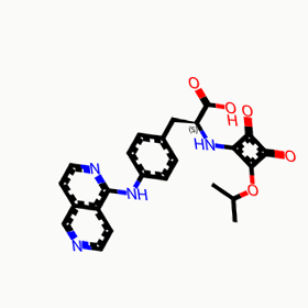 CC(C)Oc1c(N[C@@H](Cc2ccc(Nc3nccc4cnccc34)cc2)C(=O)O)c(=O)c1=O